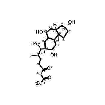 CCC[C@H]([C@H](C)CCC(=O)OC(=O)C(C)(C)C)[C@]1(C)CC2C(C[C@@H]1O)[C@@]1(C)CC[C@@H](O)C[C@H]1C[C@H]2O